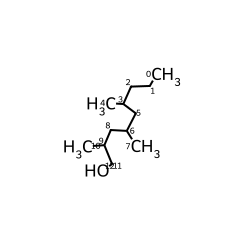 CCCC(C)CC(C)CC(C)CO